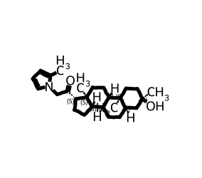 Cc1cccn1CC(=O)[C@H]1CC[C@H]2[C@@H]3CC[C@@H]4C[C@](C)(O)CC[C@]4(C)[C@H]3CC[C@]12C